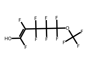 OC(F)=C(F)C(F)(F)C(F)(F)C(F)(F)OC(F)(F)F